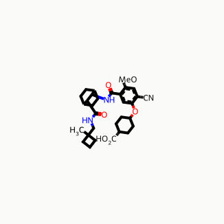 COc1cc(C#N)c(OC2CCC(C(=O)O)CC2)cc1C(=O)NC1C2CCC(CC2)C1C(=O)NCC1(C)CCC1